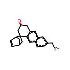 CC(C)Cc1ccc2cc3c(cc2c1)CC(=O)CC31CC2C=CC1C2